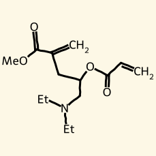 C=CC(=O)OC(CC(=C)C(=O)OC)CN(CC)CC